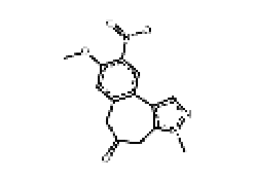 COc1cc2c(cc1[N+](=O)[O-])-c1cnn(C)c1CC(=O)C2